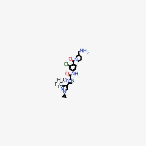 Cn1c(-c2cn(C3CC3)nc2C(F)(F)F)cnc1C(=O)Nc1ccc(C(=O)N2CCCC(CN)C2)c(Cl)c1